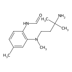 Cc1ccc(NC=O)c(N(C)CCC(C)(C)N)c1